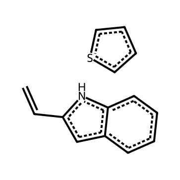 C=Cc1cc2ccccc2[nH]1.c1ccsc1